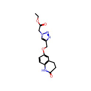 CCOC(=O)Cn1cc(COc2ccc3c(c2)CCC(=O)N3)nn1